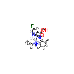 Cc1ccc(C)c(-n2nc(C(C)(C)C)cc2Nc2ncc(F)cc2C(=O)O)c1